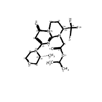 CC(C)OC(=O)CN1c2nc(N3CCOC[C@H]3C)cc(=O)n2CC[C@H]1C(F)(F)F